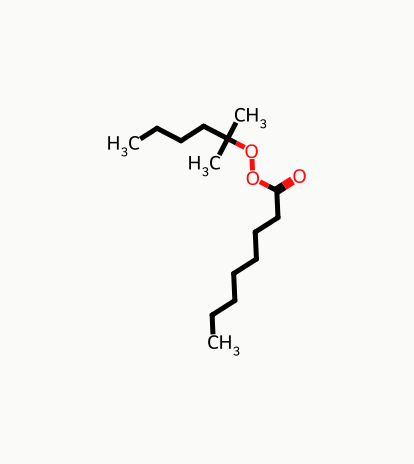 CCCCCCCC(=O)OOC(C)(C)CCCC